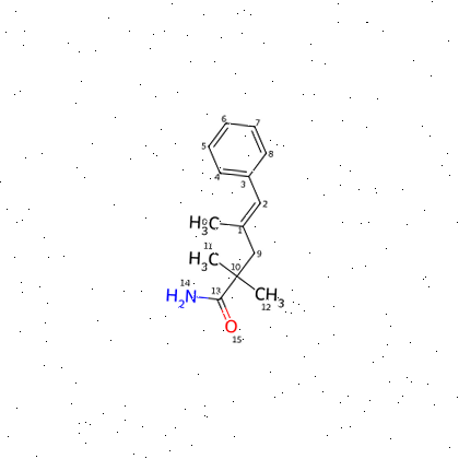 C/C(=C\c1ccccc1)CC(C)(C)C(N)=O